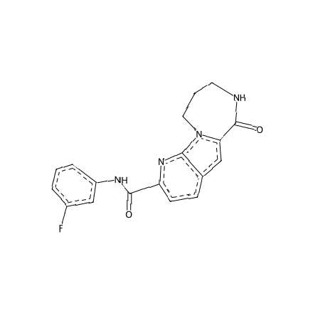 O=C(Nc1cccc(F)c1)c1ccc2cc3n(c2n1)CCCNC3=O